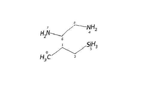 CCC[SiH3].NCCN